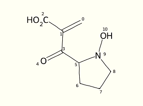 C=C(C(=O)O)C(=O)C1CCCN1O